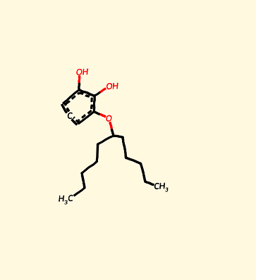 CCCCCC(CCCCC)Oc1cccc(O)c1O